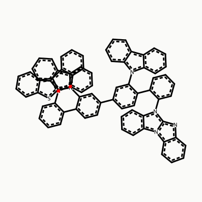 c1ccc(-n2c3ccccc3c3ccccc32)c(-c2ccc(-c3ccc(-c4ccccc4-n4c5ccccc5n5c6ccccc6nc45)c(-n4c5ccccc5c5ccccc54)c3)cc2-n2c3ccccc3c3c4ccccc4sc32)c1